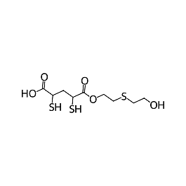 O=C(O)C(S)CC(S)C(=O)OCCSCCO